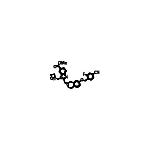 COC(=O)c1ccc2nc(CN3CCc4ccc(OCc5ccc(C#N)cc5F)cc4C3)n(C[C@@H]3CCO3)c2c1